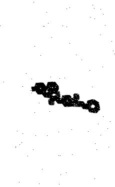 Cc1cccc(CN2C(=O)C(=Cc3ccc(C(=O)NCCN4CCCCCC4)cc3)Sc3ccccc32)c1